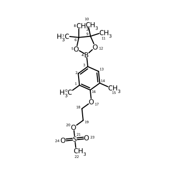 Cc1cc(B2OC(C)(C)C(C)(C)O2)cc(C)c1OCCOS(C)(=O)=O